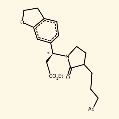 CCOC(=O)C[C@@H](c1ccc2c(c1)OCC2)N1CCC(CCCC(C)=O)C1=O